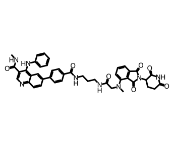 CNC(=O)c1cnc2ccc(-c3ccc(C(=O)NCCCNC(=O)CN(C)c4cccc5c4C(=O)N(C4CCC(=O)NC4=O)C5=O)cc3)cc2c1Nc1ccccc1